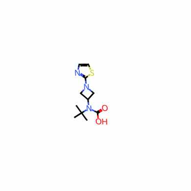 CC(C)(C)N(C(=O)O)C1CN(c2nccs2)C1